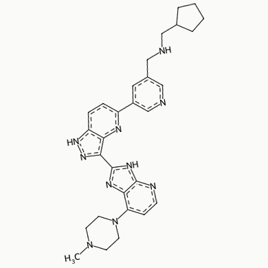 CN1CCN(c2ccnc3[nH]c(-c4n[nH]c5ccc(-c6cncc(CNCC7CCCC7)c6)nc45)nc23)CC1